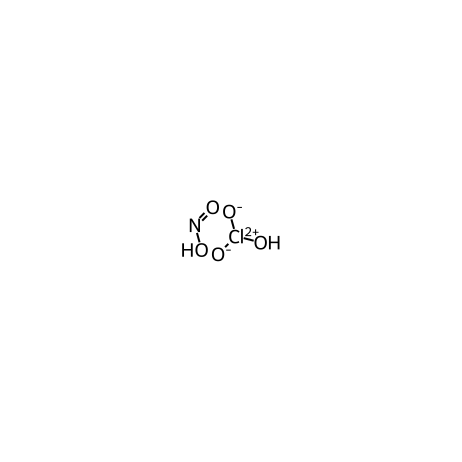 O=NO.[O-][Cl+2]([O-])O